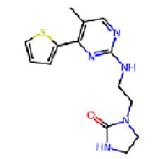 Cc1cnc(NCCN2CCNC2=O)nc1-c1cccs1